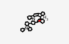 CC12c3ccccc3-c3cc4c5ccccc5n(c4cc31)-c1cc(-c3cccc4c3c3ccccc3n4-c3ccccc3)ccc1-c1ccc2c2c1sc1ccccc12